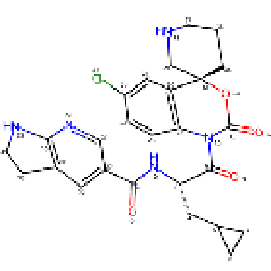 O=C(N[C@@H](CC1CC1)C(=O)N1C(=O)O[C@]2(CCCNC2)c2cc(Cl)ccc21)c1cnc2c(c1)CCN2